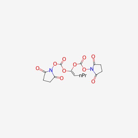 CCCC=C(OC(=O)ON1C(=O)CCC1=O)OC(=O)ON1C(=O)CCC1=O